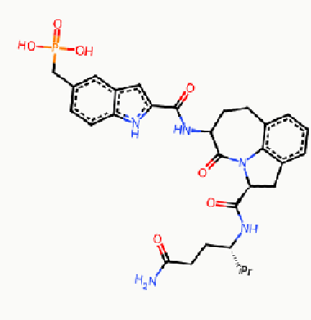 CC(C)[C@H](CCC(N)=O)NC(=O)[C@@H]1Cc2cccc3c2N1C(=O)[C@@H](NC(=O)c1cc2cc(CP(=O)(O)O)ccc2[nH]1)CC3